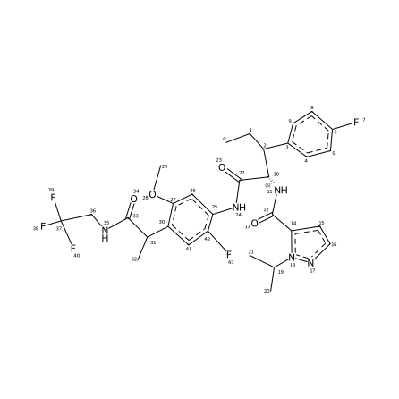 CCC(c1ccc(F)cc1)[C@H](NC(=O)c1ccnn1C(C)C)C(=O)Nc1cc(OC)c(C(C)C(=O)NCC(F)(F)F)cc1F